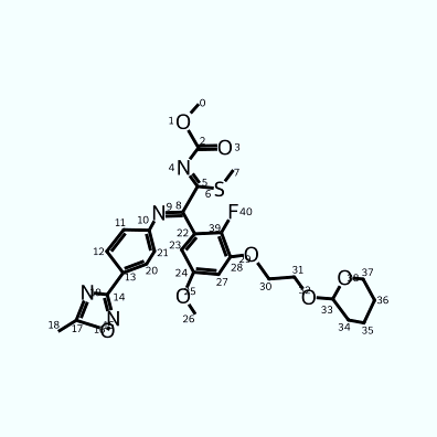 COC(=O)N=C(SC)/C(=N/c1ccc(-c2noc(C)n2)cc1)c1cc(OC)cc(OCCOC2CCCCO2)c1F